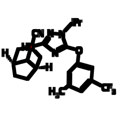 Cc1cc(Oc2nc(NC3[C@@H]4CC[C@H]3CN(C#N)C4)nn2C(C)C)cc(C(F)(F)F)c1